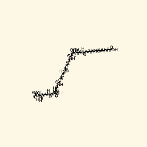 CC[C@H](NC(=O)[C@H](CCCCNC(=O)CC[C@H](NC(=O)CCCNC(=O)COCCOCCNC(=O)COCCOCCNC(=O)CC[C@H](NC(=O)CCCNC(=O)CCCCCCCCCCCCCCCCC(=O)O)C(=O)O)C(=O)O)NI)C(N)=O